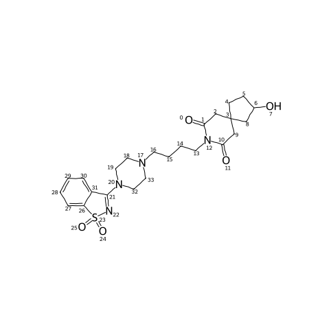 O=C1CC2(CCC(O)C2)CC(=O)N1CCCCN1CCN(C2=NS(=O)(=O)c3ccccc32)CC1